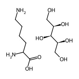 NCCCCC(N)C(=O)O.OC[C@@H](O)[C@H](O)[C@@H](O)CO